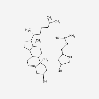 CC(C)CCC[C@@H](C)[C@H]1CCC2C3CC=C4CC(S)CC[C@]4(C)C3CC[C@@]21C.NP(O)OC[C@@H]1CC(O)CN1